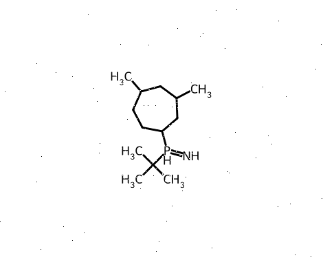 CC1CCC([PH](=N)C(C)(C)C)CC(C)C1